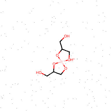 OCC1CO[B-]2(O1)OC(CO)C[OH+]2